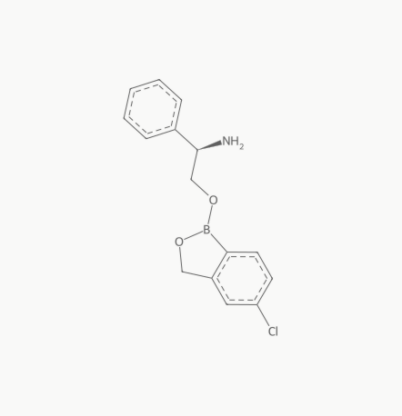 N[C@@H](COB1OCc2cc(Cl)ccc21)c1ccccc1